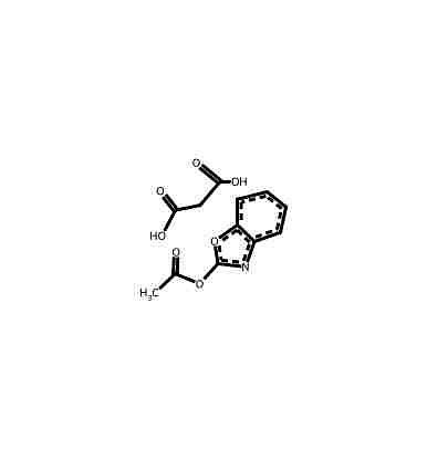 CC(=O)Oc1nc2ccccc2o1.O=C(O)CC(=O)O